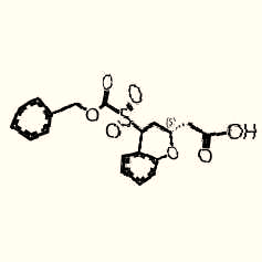 O=C(O)C[C@H]1CC(S(=O)(=O)C(=O)OCc2ccccc2)c2ccccc2O1